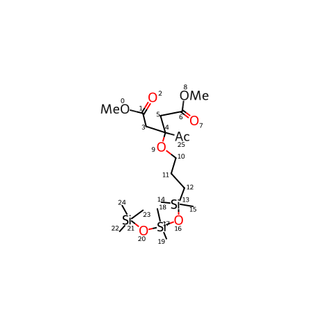 COC(=O)CC(CC(=O)OC)(OCCC[Si](C)(C)O[Si](C)(C)O[Si](C)(C)C)C(C)=O